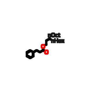 CCCCCCCCC(CCCCCC)CCOC(=O)CCc1ccccc1